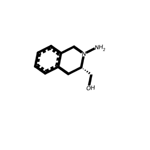 NN1Cc2ccccc2C[C@H]1CO